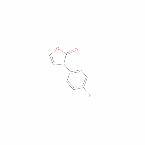 O=C1OC=[C]C1c1ccc(F)cc1